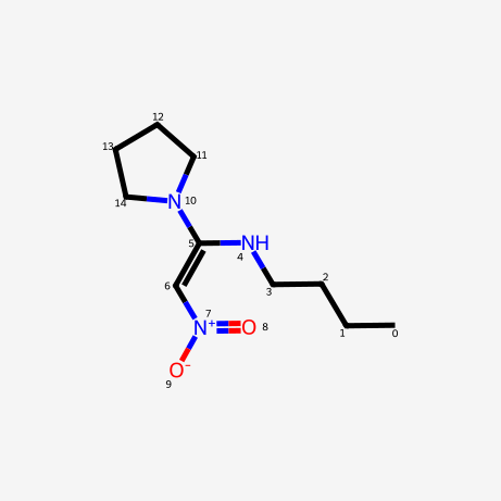 CCCCNC(=C[N+](=O)[O-])N1CCCC1